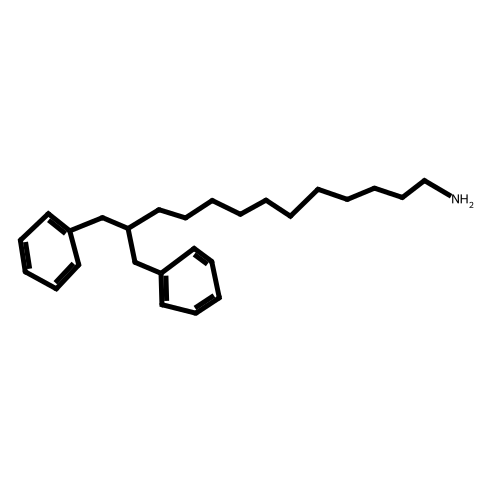 NCCCCCCCCCCCC(Cc1ccccc1)Cc1ccccc1